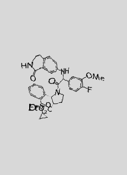 CCOC(=O)[C@H]1CCN(C(=O)C(Nc2ccc3c(c2)C(=O)NC3)c2ccc(F)c(OC)c2)[C@H]1c1ccccc1S(=O)(=O)C1CC1